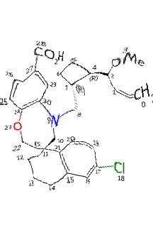 C=CC(OC)[C@@H]1CC[C@H]1CN1C[C@@]2(CCCc3cc(Cl)ccc32)COc2ccc(C(=O)O)cc21